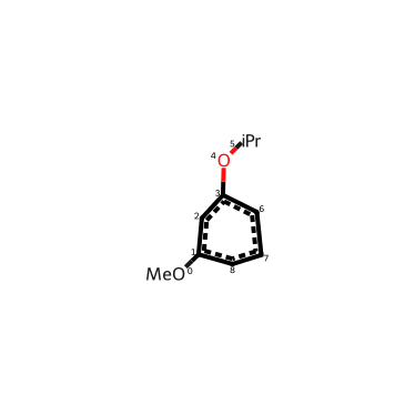 COc1[c]c(OC(C)C)ccc1